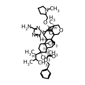 CC(C)[C@@H](C)[C@@]1(C)CC[C@]2(C)[C@H]3CC[C@@H]4C5(COC[C@]4(C)[C@@H](OCC4CCCN4C)[C@H](n4nnc(N)n4)C5)C3=CC[C@@]2(C)[C@@H]1C(=O)OCc1ccccc1